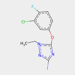 CCn1nc(I)nc1Oc1ccc(F)c(Cl)c1